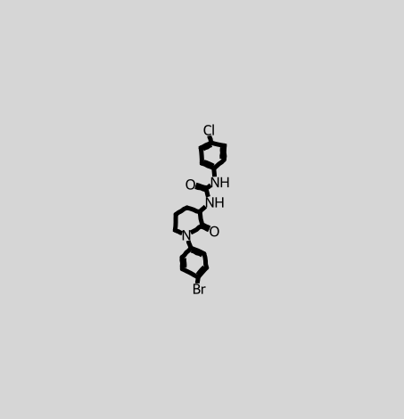 O=C(Nc1ccc(Cl)cc1)NC1CCCN(c2ccc(Br)cc2)C1=O